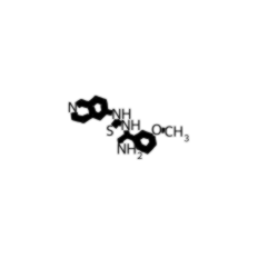 COc1cccc(C(CN)NC(=S)Nc2ccc3cnccc3c2)c1